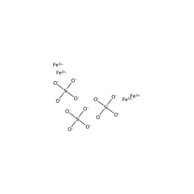 [Fe+3].[Fe+3].[Fe+3].[Fe+3].[O-][Si]([O-])([O-])[O-].[O-][Si]([O-])([O-])[O-].[O-][Si]([O-])([O-])[O-]